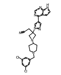 N#CCC1(n2cc(-c3ncnc4[nH]ccc34)cn2)CN(C2CCN(Cc3cc(Cl)cc(Cl)c3)CC2)C1